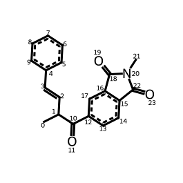 CC(/C=C/c1ccccc1)C(=O)c1ccc2c(c1)C(=O)N(C)C2=O